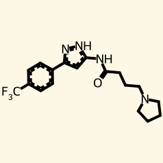 O=C(CCCN1CCCC1)Nc1cc(-c2ccc(C(F)(F)F)cc2)n[nH]1